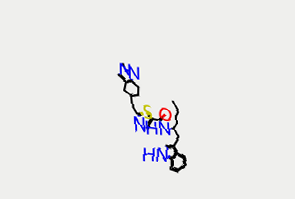 CCCCC(Cc1c[nH]c2ccccc12)NC(=O)c1cnc(CC2CCc3nn(C)cc3C2)s1